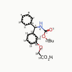 CC(C)(C)OC(=O)NC(c1ccccc1)c1cccc(OCC(=O)O)c1